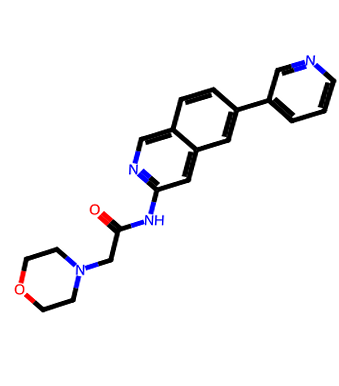 O=C(CN1CCOCC1)Nc1cc2cc(-c3cccnc3)ccc2cn1